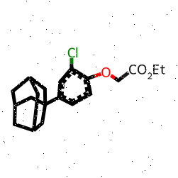 CCOC(=O)COc1ccc(C23CC4CC(CC(C4)C2)C3)cc1Cl